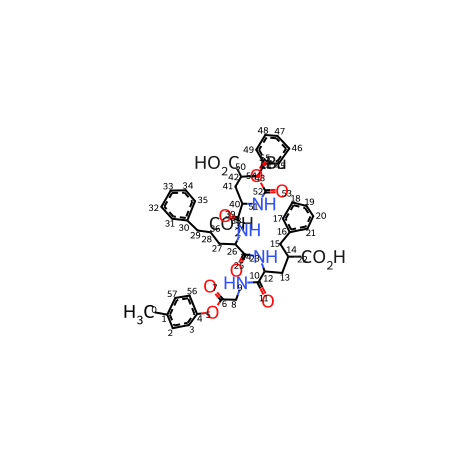 Cc1ccc(OC(=O)CNC(=O)C(CC(Cc2ccccc2)C(=O)O)NC(=O)C(CC(Cc2ccccc2)C(=O)O)NC(=O)C(CC(Cc2ccccc2)C(=O)O)NC(=O)OC(C)(C)C)cc1